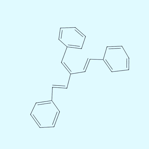 C(=Cc1ccccc1)C(C=Cc1ccccc1)=Cc1ccccc1